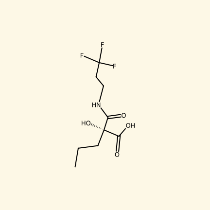 CCC[C@](O)(C(=O)O)C(=O)NCCC(F)(F)F